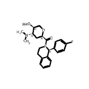 CO[C@H]1CO[C@@H](C(=O)N2CCc3ccccc3[C@@H]2c2ccc(F)cc2)C[C@@H]1N(C)C